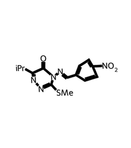 CSc1nnc(C(C)C)c(=O)n1N=Cc1ccc([N+](=O)[O-])cc1